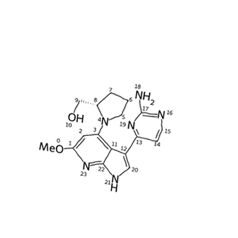 COc1cc(N2CCC[C@H]2CO)c2c(-c3ccnc(N)n3)c[nH]c2n1